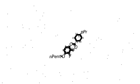 CCCCCOc1ccc(OC(=O)[C@H]2CC[C@H](CCC)CC2)c(F)c1F